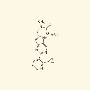 CN(Cc1cc2nc(-c3cccnc3C3CC3)ncc2[nH]1)C(=O)OC(C)(C)C